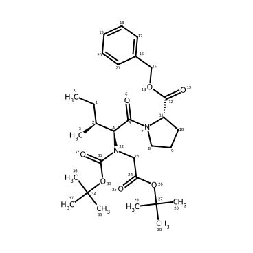 CC[C@H](C)[C@@H](C(=O)N1CCC[C@H]1C(=O)OCc1ccccc1)N(CC(=O)OC(C)(C)C)C(=O)OC(C)(C)C